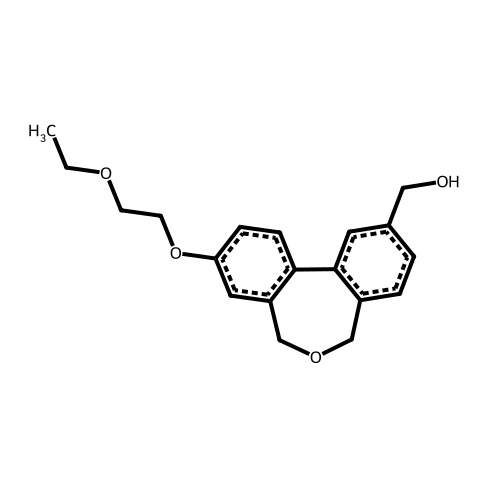 CCOCCOc1ccc2c(c1)COCc1ccc(CO)cc1-2